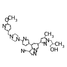 COc1ccc(CN2CCN(c3ccc(-c4cc(-c5cc(C)n(CC(C)CO)n5)cn5ncc(C#N)c45)cn3)CC2)cn1